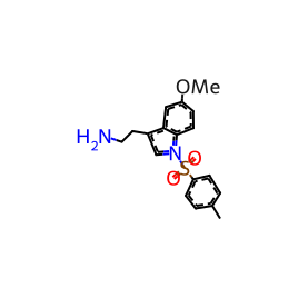 COc1ccc2c(c1)c(CCN)cn2S(=O)(=O)c1ccc(C)cc1